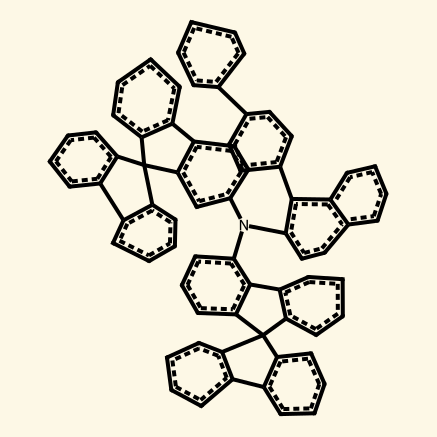 c1ccc(-c2ccc(-c3c(N(c4ccc5c(c4)C4(c6ccccc6-c6ccccc64)c4ccccc4-5)c4cccc5c4-c4ccccc4C54c5ccccc5-c5ccccc54)ccc4ccccc34)cc2)cc1